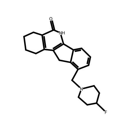 O=c1[nH]c2c(c3c1CCCC3)Cc1c(CN3CCC(F)CC3)cccc1-2